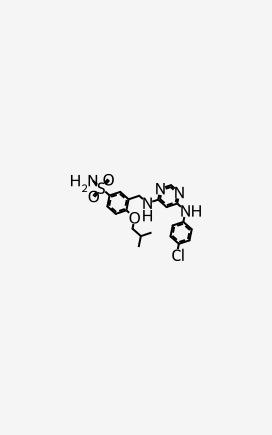 CC(C)COc1ccc(S(N)(=O)=O)cc1CNc1cc(Nc2ccc(Cl)cc2)ncn1